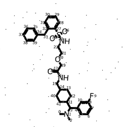 CN(C)C(c1cccc(F)c1)C1CCC(CNC(=O)COCCNS(=O)(=O)c2ccccc2Cc2ccccc2)CC1